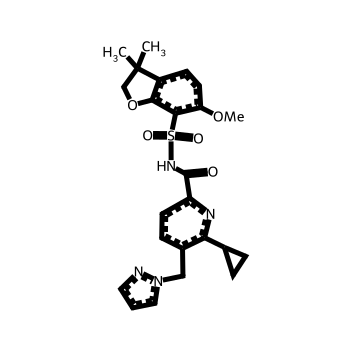 COc1ccc2c(c1S(=O)(=O)NC(=O)c1ccc(Cn3cccn3)c(C3CC3)n1)OCC2(C)C